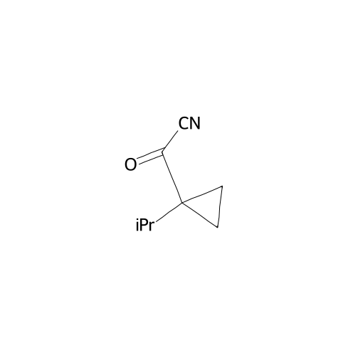 CC(C)C1(C(=O)C#N)CC1